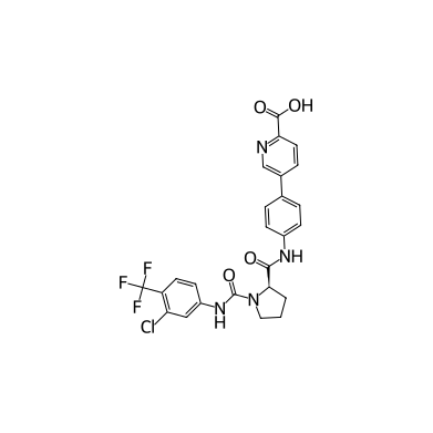 O=C(O)c1ccc(-c2ccc(NC(=O)[C@H]3CCCN3C(=O)Nc3ccc(C(F)(F)F)c(Cl)c3)cc2)cn1